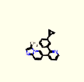 FC(F)(F)c1cnc2ccc(-c3cccnc3-c3cccc(C4CC4)c3)cn12